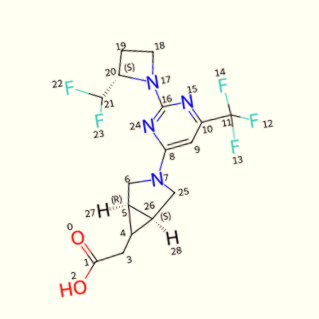 O=C(O)CC1[C@H]2CN(c3cc(C(F)(F)F)nc(N4CC[C@H]4C(F)F)n3)C[C@@H]12